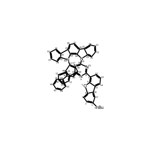 CCCCc1ccc2oc3c(-c4nc(-c5ccccc5)nc(-n5c6ccccc6c6ccc7c8ccccc8n(-c8cccc(-c9ccccc9)c8)c7c65)n4)cccc3c2c1